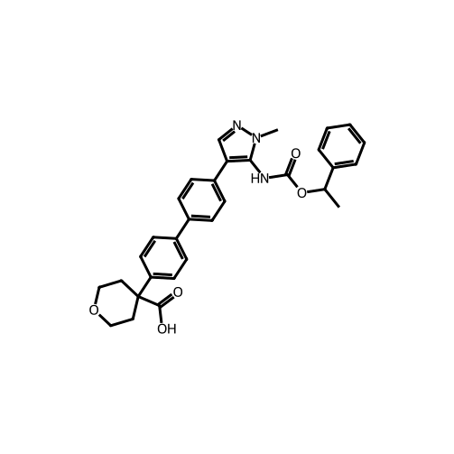 CC(OC(=O)Nc1c(-c2ccc(-c3ccc(C4(C(=O)O)CCOCC4)cc3)cc2)cnn1C)c1ccccc1